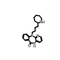 O=C1Nc2cccnc2N(CCCCC2CCCCCN2)c2ccccc21